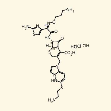 Cl.Cl.Cl.NCCCO/N=C(\C(=O)N[C@@H]1C(=O)N2C(C(=O)O)=C(CN3C=CN4NC(SCCN)=CC=C34)CS[C@@H]12)c1csc(N)n1